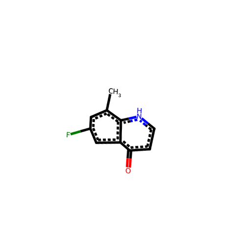 Cc1cc(F)cc2c(=O)cc[nH]c12